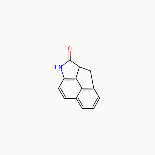 O=C1Nc2ccc3cccc4c3c2C1C4